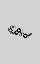 O=C(Nc1cccc(C(F)(F)F)c1)c1cccc2cc(Cc3cc(O)ncn3)ccc12